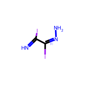 N=C(I)/C(I)=N\N